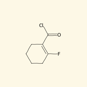 O=C(Cl)C1=C(F)CCCC1